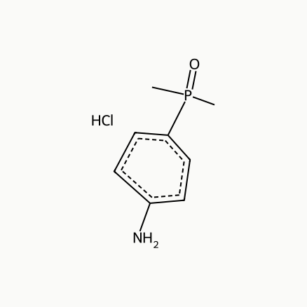 CP(C)(=O)c1ccc(N)cc1.Cl